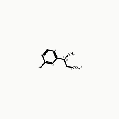 Cc1cccc([C@@H](N)CC(=O)O)c1